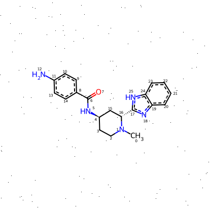 CN1CC[C@@H](NC(=O)c2ccc(N)cc2)C[C@@H]1c1nc2ccccc2[nH]1